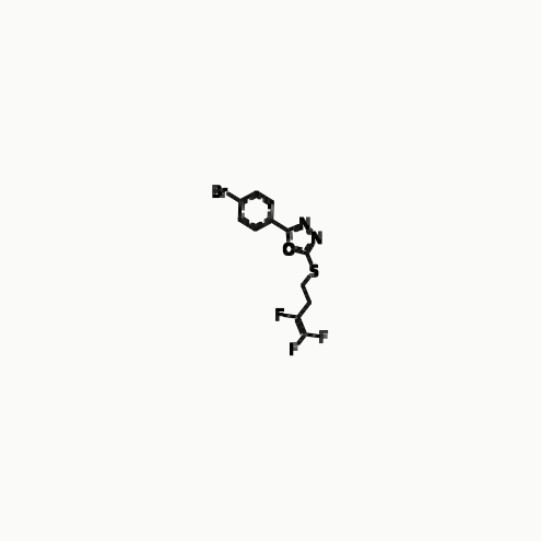 FC(F)=C(F)CCSc1nnc(-c2ccc(Br)cc2)o1